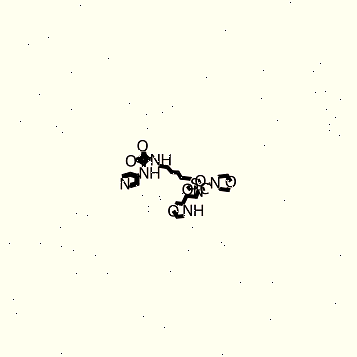 O=c1c(NCCCCCCS(=O)(=O)N(CCC2COCCN2)CCN2CCOCC2)c(Nc2ccncc2)c1=O